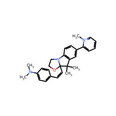 CN(C)c1ccc(/C=C\C23OCCN2c2ccc(-c4cccc[n+]4C)cc2C3(C)C)cc1